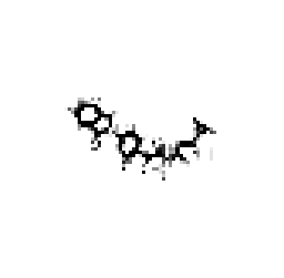 CC(C(=O)Nc1cc(C2CC2)[nH]n1)c1ccc(N2Cc3ccccc3C2=O)cc1Cl